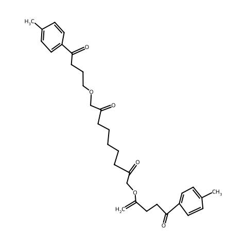 C=C(CCC(=O)c1ccc(C)cc1)OCC(=O)CCCCCC(=O)COCCCC(=O)c1ccc(C)cc1